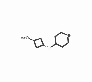 CO[C@H]1C[C@H](OC2CCNCC2)C1